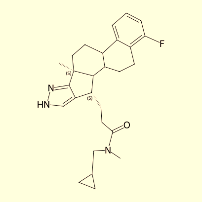 CN(CC1CC1)C(=O)CC[C@@H]1c2c[nH]nc2[C@@]2(C)CCC3c4cccc(F)c4CCC3C12